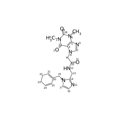 Cn1c(=O)c2c(ncn2CC(=O)NCc2nccn2CC2=CCCC=C2)n(C)c1=O